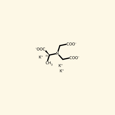 C[C@@H](C(=O)[O-])N(CC(=O)[O-])CC(=O)[O-].[K+].[K+].[K+]